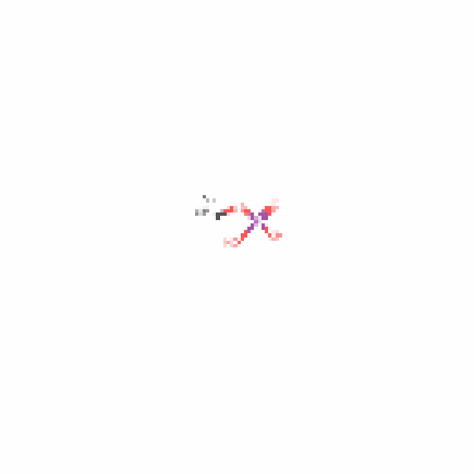 COP(=O)(O)O.[Co].[LiH]